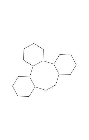 C1CCC2C(C1)CCC1CCCCC1C1CCCCC21